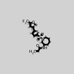 C=CC(=O)NC1CCCCN(S(=O)(=O)c2ccc(-c3cc(C(F)(F)F)on3)s2)C1